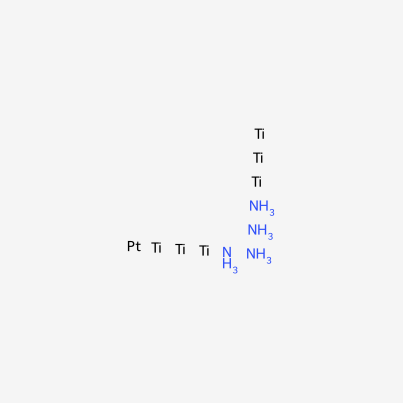 N.N.N.N.[Pt].[Ti].[Ti].[Ti].[Ti].[Ti].[Ti]